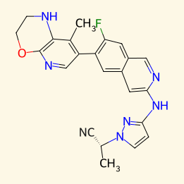 Cc1c(-c2cc3cc(Nc4ccn([C@H](C)C#N)n4)ncc3cc2F)cnc2c1NCCO2